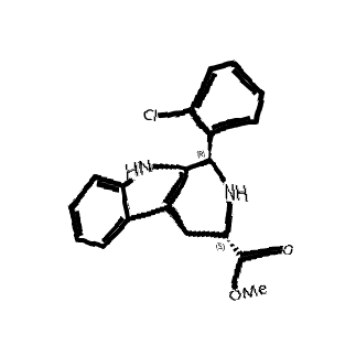 COC(=O)[C@@H]1Cc2c([nH]c3ccccc23)[C@@H](c2ccccc2Cl)N1